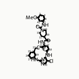 COc1cccc(NC(=O)N2CCC(C(=O)Nc3ccc4cc3CCc3cccc(c3)Nc3ncc(Cl)c(n3)N4)CC2)c1